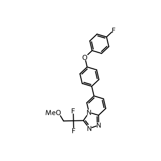 COCC(F)(F)c1nnc2ccc(-c3ccc(Oc4ccc(F)cc4)cc3)cn12